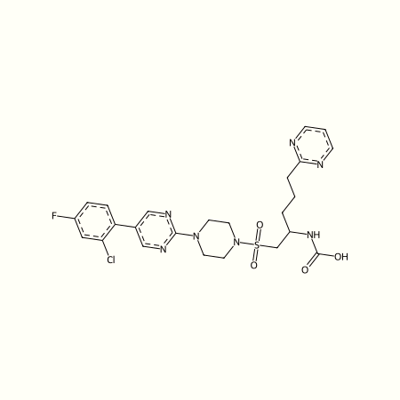 O=C(O)NC(CCCc1ncccn1)CS(=O)(=O)N1CCN(c2ncc(-c3ccc(F)cc3Cl)cn2)CC1